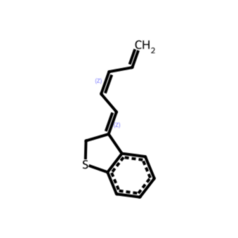 C=C/C=C\C=C1/CSc2ccccc21